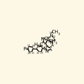 CCN1CCN(Cc2cnn(-c3ccc(-c4ccc(F)cc4)cc3)c2-c2c(C)noc2C)CC1